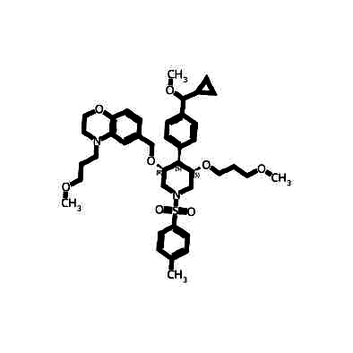 COCCCO[C@@H]1CN(S(=O)(=O)c2ccc(C)cc2)C[C@H](OCc2ccc3c(c2)N(CCCOC)CCO3)[C@H]1c1ccc(C(OC)C2CC2)cc1